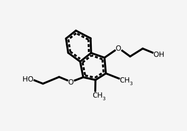 Cc1c(C)c(OCCO)c2ccccc2c1OCCO